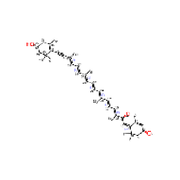 CC1=CC(=O)CC(C)(C)/C1=C/C(=O)/C(C)=C/C=C/C(C)=C/C=C/C=C(C)/C=C/C=C(\C)C#CC1=C(C)C[C@@H](O)CC1(C)C